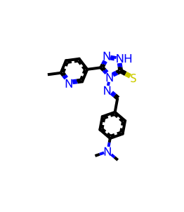 Cc1ccc(-c2n[nH]c(=S)n2N=Cc2ccc(N(C)C)cc2)cn1